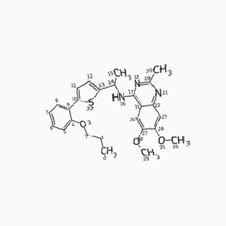 CCCOc1ccccc1-c1ccc(C(C)Nc2nc(C)nc3cc(OC)c(OC)cc23)s1